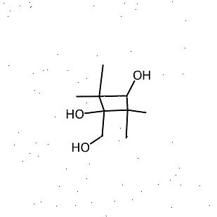 CC1(C)C(O)C(C)(C)C1(O)CO